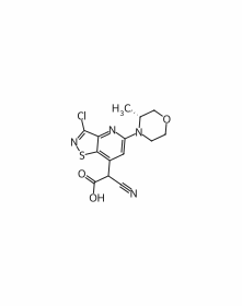 C[C@@H]1COCCN1c1cc(C(C#N)C(=O)O)c2snc(Cl)c2n1